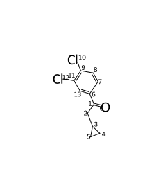 O=C(CC1CC1)c1ccc(Cl)c(Cl)c1